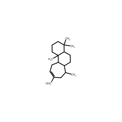 CC1CC(C=O)=CCC2C1CCC1C(C)(C)CCCC21C